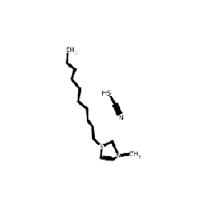 CCCCCCCCCCN1C=CN(C)C1.N#CS